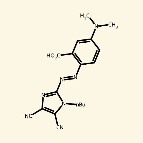 CCCCn1c(N=Nc2ccc(N(C)C)cc2C(=O)O)nc(C#N)c1C#N